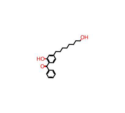 O=C(c1ccccc1)c1ccc(CCCCCCCCO)cc1O